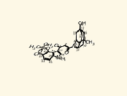 CC(CC(=O)N1C2CC3(C)CC1CC(O)(C2)C3)c1c[nH]c2ccc(Cl)c(OS(C)(=O)=O)c12